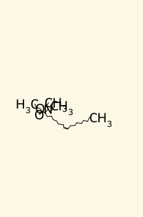 CCCCCCCC/C=C\CCCCCCC(C(=O)OCC)N(CC)CC